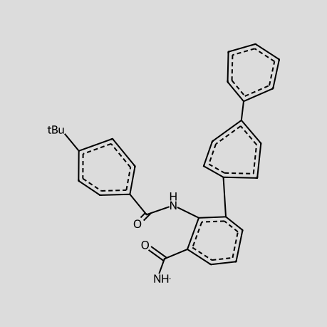 CC(C)(C)c1ccc(C(=O)Nc2c(C([NH])=O)cccc2-c2ccc(-c3ccccc3)cc2)cc1